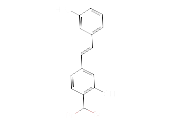 Cc1cccc(C=Cc2ccc(C(Br)Br)c(C)c2)c1